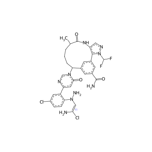 CC1CCCC(n2cnc(-c3cc(Cl)ccc3N(N)/C=C(\N)Cl)cc2=O)c2cc(C(N)=O)cc(c2)-c2c(cnn2C(F)F)NC1=O